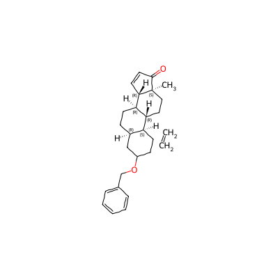 C=C.C[C@]12CC[C@H]3[C@@H](CC[C@@H]4CC(OCc5ccccc5)CC[C@@H]43)[C@@H]1C=CC2=O